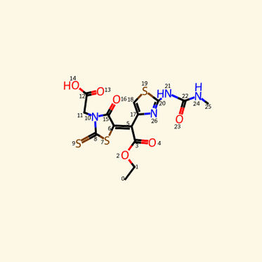 CCOC(=O)/C(=C1\SC(=S)N(CC(=O)O)C1=O)c1csc(NC(=O)NC)n1